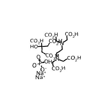 O=C(O)CC(O)(CC(=O)O)C(=O)O.O=C(O)CN(CCN(CC(=O)O)CC(=O)O)CC(=O)O.O=P([O-])([O-])O.[Na+].[Na+]